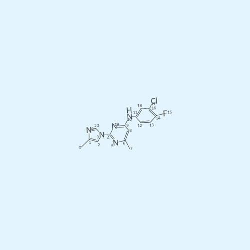 Cc1cn(-c2nc(C)cc(Nc3ccc(F)c(Cl)c3)n2)cn1